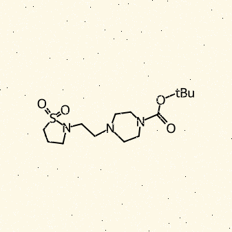 CC(C)(C)OC(=O)N1CCN(CCN2CCCS2(=O)=O)CC1